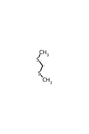 CS[CH]SC